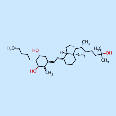 C=CCCC[C@@H]1[C@H](O)CC(=CC=C2CCC[C@]3(C)[C@@H]([C@H](C)CCCC(C)(C)O)CC[C@@H]23)C(=C)[C@H]1O